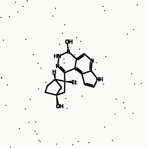 CC[C@@]1(C2=NNB(O)c3cnc4[nH]ccc4c32)C[C@]2(O)CC[C@H]1C2